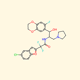 O=C(NC(CN1CCCC1)C(O)c1cc2c(cc1F)OCCO2)C(F)(F)c1cc2cc(Cl)ccc2o1